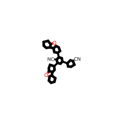 N#Cc1cccc(-c2cc(-c3ccc4oc5ccccc5c4c3)c(C#N)c(-c3ccc4oc5ccccc5c4c3)c2)c1